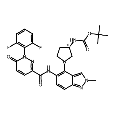 Cn1cc2c(N3CC[C@@H](NC(=O)OC(C)(C)C)C3)c(NC(=O)c3ccc(=O)n(-c4c(F)cccc4F)n3)ccc2n1